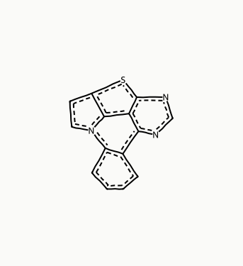 c1ccc2c(c1)c1ncnc3sc4ccn2c4c31